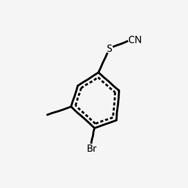 Cc1cc(SC#N)ccc1Br